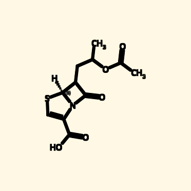 CC(=O)OC(C)CC1C(=O)N2C(C(=O)O)=CS[C@@H]12